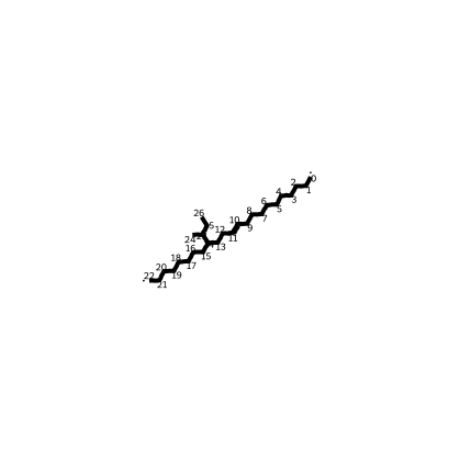 [CH2]CCCCCCCCCC=CCCC(CCCCCCC[CH2])C(C)CC